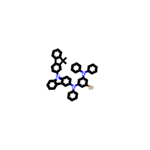 CC1(C)c2ccccc2-c2ccc(-n3c4ccccc4c4cc(N(c5ccccc5)c5cc(Br)cc(N(c6ccccc6)c6ccccc6)c5)ccc43)cc21